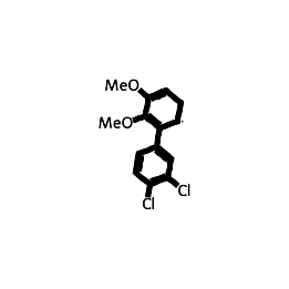 COC1=CC[CH]C(c2ccc(Cl)c(Cl)c2)=C1OC